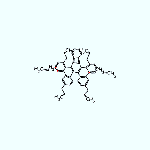 C=CCc1ccc(-c2c(-c3ccc(CC=C)cc3CC=C)c(-c3ccc(CC=C)cc3CC=C)c3c(c2-c2ccc(CC=C)cc2CC=C)=c2ccccc2=3)c(CC=C)c1